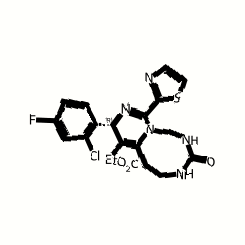 CCOC(=O)C1=C2CCNC(=O)NCN2C(c2nccs2)=N[C@H]1c1ccc(F)cc1Cl